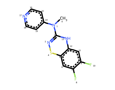 CN(C1=NSc2cc(F)c(F)cc2N1)c1ccncc1